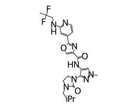 CC(C)CN1CCN(c2nn(C)cc2NC(=O)c2coc(-c3ccnc(NCC(C)(F)F)c3)n2)C1=O